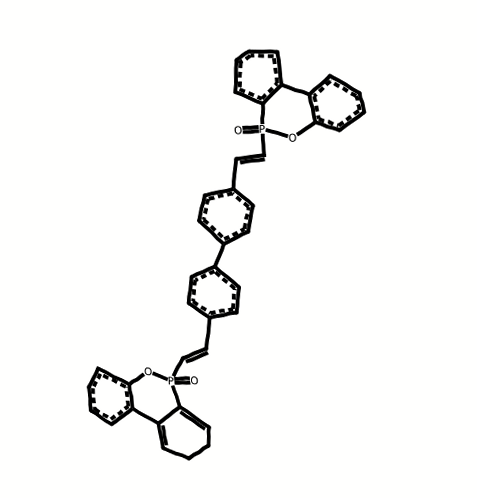 O=P1(/C=C/c2ccc(-c3ccc(/C=C/P4(=O)Oc5ccccc5-c5ccccc54)cc3)cc2)Oc2ccccc2C2=CCCC=C21